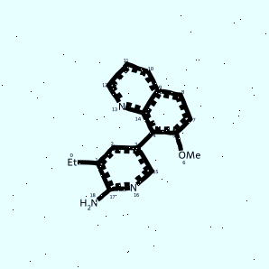 CCc1cc(-c2c(OC)ccc3cccnc23)cnc1N